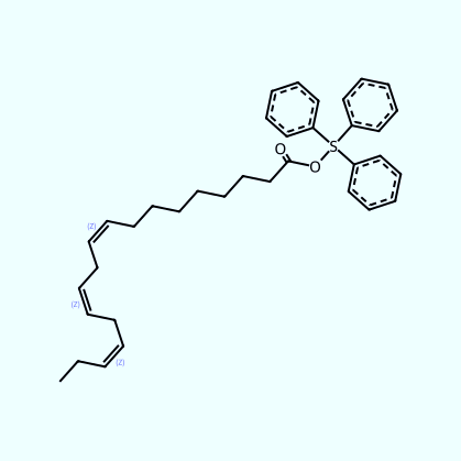 CC/C=C\C/C=C\C/C=C\CCCCCCCC(=O)OS(c1ccccc1)(c1ccccc1)c1ccccc1